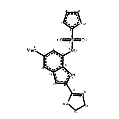 COc1cc(NS(=O)(=O)c2cccs2)c2[nH]c(C3=NCCS3)cc2c1